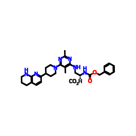 Cc1nc(NC[C@H](NC(=O)OCc2ccccc2)C(=O)O)c(C)c(N2CCC(c3ccc4c(n3)NCCC4)CC2)n1